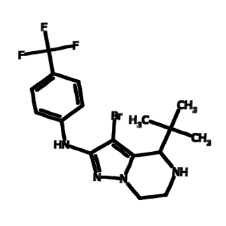 CC(C)(C)C1NCCn2nc(Nc3ccc(C(F)(F)F)cc3)c(Br)c21